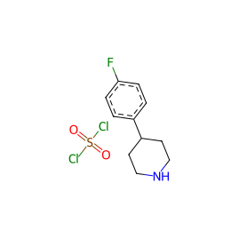 Fc1ccc(C2CCNCC2)cc1.O=S(=O)(Cl)Cl